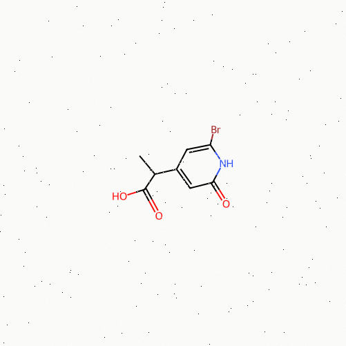 CC(C(=O)O)c1cc(Br)[nH]c(=O)c1